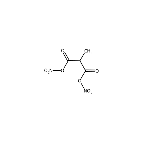 CC(C(=O)O[N+](=O)[O-])C(=O)O[N+](=O)[O-]